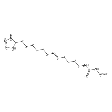 CCCCCNC(=O)NCCCC/C=C/CCCCCCC1NN=NN1